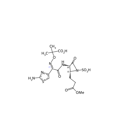 COC(=O)CC[C@H]1[C@@H](NC(=O)/C(=N\OC(C)(C)C(=O)O)c2csc(N)n2)C(=O)N1S(=O)(=O)O